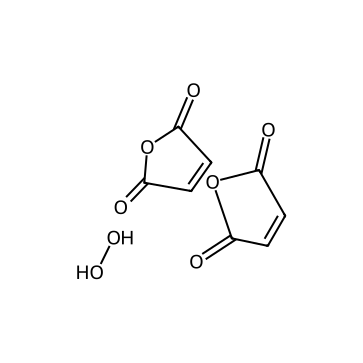 O=C1C=CC(=O)O1.O=C1C=CC(=O)O1.OO